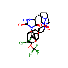 C[C@@H]1NC(=O)N(c2cc(Cl)c(OC(F)(F)F)cc2C=CC(=O)N2C3CCC2CN(Cc2ccc(F)cc2)C3)C1=O